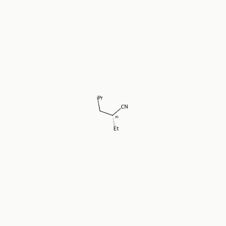 CC[C@@H](C#N)CC(C)C